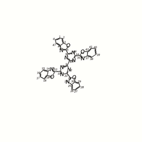 c1ccc2oc(-c3nc(-c4nc(-c5nc6ccccc6o5)nc(-c5nc6ccccc6o5)n4)nc(-c4nc5ccccc5o4)n3)nc2c1